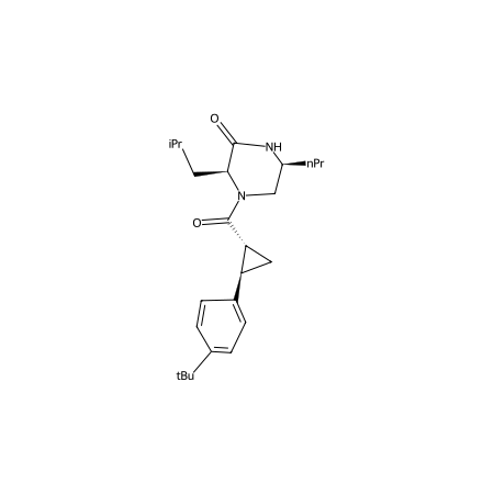 CCC[C@H]1CN(C(=O)[C@@H]2C[C@H]2c2ccc(C(C)(C)C)cc2)[C@@H](CC(C)C)C(=O)N1